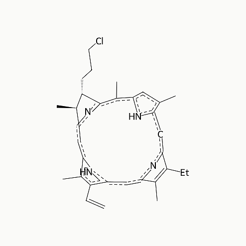 C=Cc1c(C)c2cc3nc(c(C)c4cc(C)c(cc5nc(cc1[nH]2)C(C)=C5CC)[nH]4)[C@@H](CCCCl)[C@@H]3C